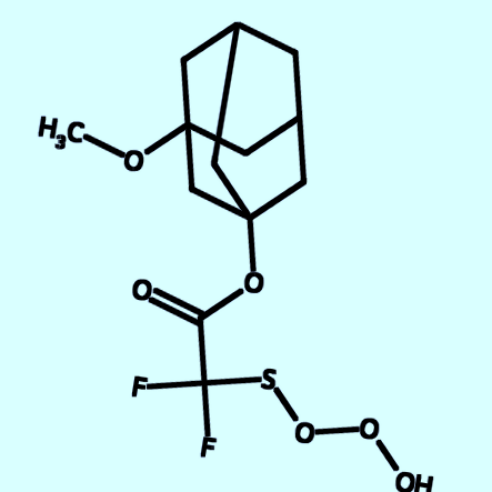 COC12CC3CC(C1)CC(OC(=O)C(F)(F)SOOO)(C3)C2